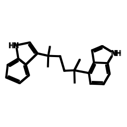 CC(C)(CCC(C)(C)c1c[nH]c2ccccc12)c1cccc2[nH]ccc12